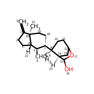 C=C1CC[C@H]2[C@H](C=O)[C@@H]([C@@]3(C)CCC4C[C@H]3C(O)O4)CC[C@]12C